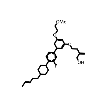 C=C(CO)CCOC1=CC(c2ccc(C3CCC(CC/C=C/C)CC3)c(F)c2)CC(OCCOC)=C1